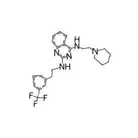 FC(F)(F)c1cccc(CCNc2nc(NCCN3CCCCC3)c3ccccc3n2)c1